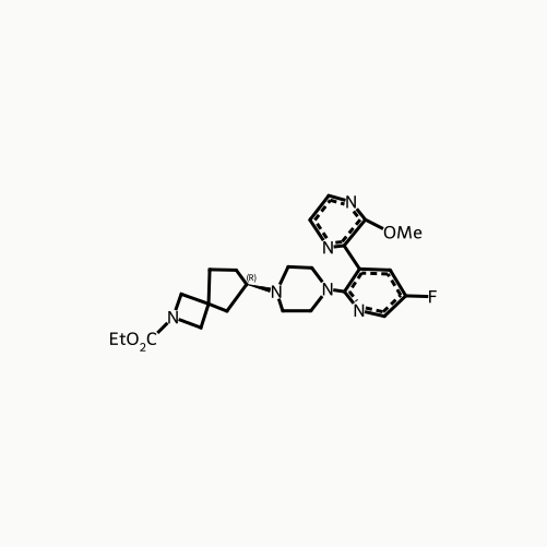 CCOC(=O)N1CC2(CC[C@@H](N3CCN(c4ncc(F)cc4-c4nccnc4OC)CC3)C2)C1